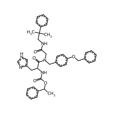 CC(OC(=O)NC(Cc1c[nH]cn1)C(=O)N(CC(=O)NCC(C)(C)c1ccccc1)Cc1ccc(OCc2ccccc2)cc1)c1ccccc1